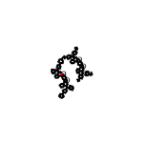 CC(C)(C)c1ccc(N(c2ccc(C(C)(C)C)cc2)c2cc3oc4cc5oc6cc(N(c7ccc(C(C)(C)C)cc7)c7ccc(C(C)(C)Cc8ccc(-c9ccc(N(c%10ccccc%10)c%10cc%11oc%12cc%13oc%14cc(N(c%15ccccc%15)c%15ccc(-c%16ccccc%16)cc%15)c%15ccccc%15c%14c%13cc%12c%11c%11ccccc%10%11)cc9)cc8)cc7)c7ccccc7c6c5cc4c3c3ccccc23)cc1